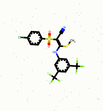 CS/C(Nc1cc(C(F)(F)F)cc(C(F)(F)F)c1)=C(\C#N)S(=O)(=O)c1ccc(Cl)cc1